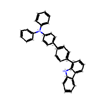 c1ccc(N(c2ccccc2)c2ccc(-c3ccc(-c4cccc5c4[nH]c4ccccc45)cc3)cc2)cc1